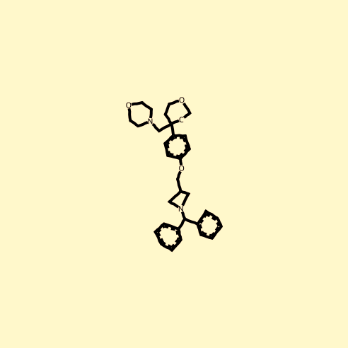 c1ccc(C(c2ccccc2)N2CC(COc3ccc(C4(CN5CCOCC5)CCOCC4)cc3)C2)cc1